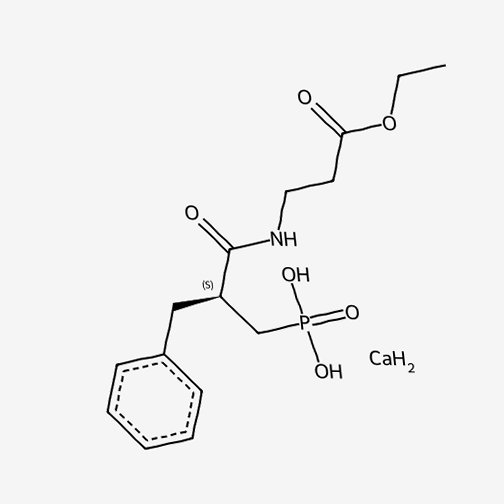 CCOC(=O)CCNC(=O)[C@H](Cc1ccccc1)CP(=O)(O)O.[CaH2]